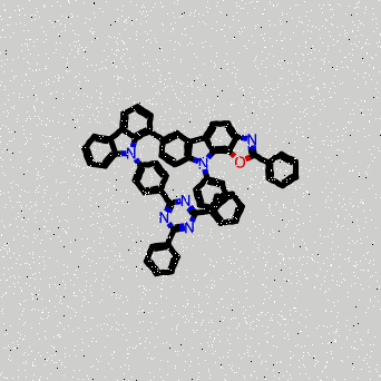 c1ccc(-c2nc(-c3ccccc3)nc(-c3ccc(-n4c5ccccc5c5cccc(-c6ccc7c(c6)c6ccc8nc(-c9ccccc9)oc8c6n7-c6ccccc6)c54)cc3)n2)cc1